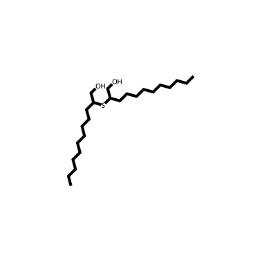 CCCCCCCCCCC(CO)SC(CO)CCCCCCCCCC